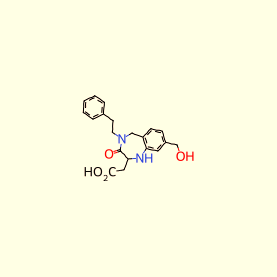 O=C(O)CC1Nc2cc(CO)ccc2CN(CCc2ccccc2)C1=O